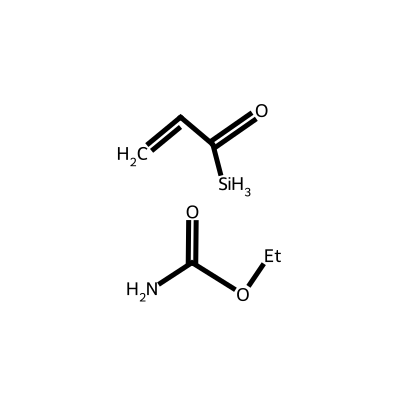 C=CC(=O)[SiH3].CCOC(N)=O